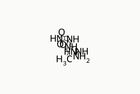 CCCCNC(=O)C1(CCCNC(=N)N)NCC2C(=O)NC(=O)C21